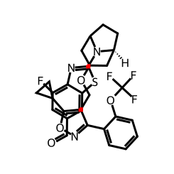 O=Cc1cc(F)c2nc(N3C4CC[C@H]3CC(OCc3c(-c5ccccc5OC(F)(F)F)noc3C3CC3)C4)sc2c1